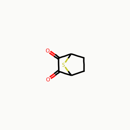 O=C1C(=O)C2CCC1S2